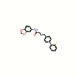 O=C(CCCc1ccc(-c2ccccc2F)cc1)Nc1ccc2c(c1)OCO2